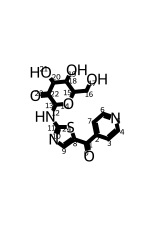 O=C(c1ccncc1)c1cnc(NC2OC(CO)C(O)C(O)C2=O)s1